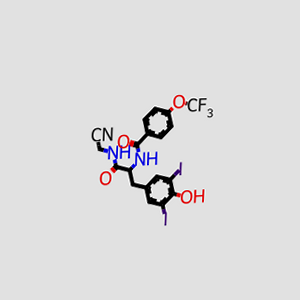 N#CCNC(=O)C(Cc1cc(I)c(O)c(I)c1)NC(=O)c1ccc(OC(F)(F)F)cc1